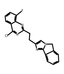 Fc1cccc2c(Cl)nc(CCc3cn4c(n3)-c3ccccc3C4)nc12